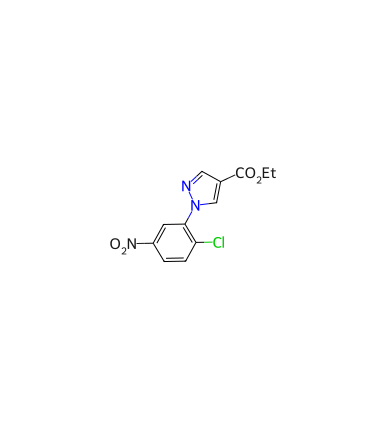 CCOC(=O)c1cnn(-c2cc([N+](=O)[O-])ccc2Cl)c1